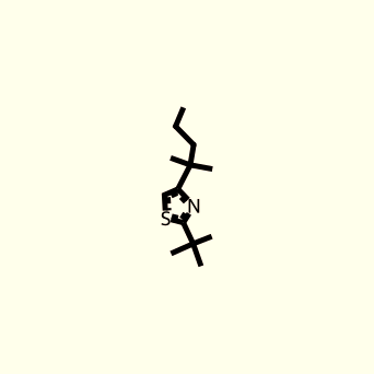 CCCC(C)(C)c1csc(C(C)(C)C)n1